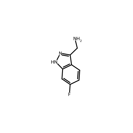 NCc1n[nH]c2cc(F)ccc12